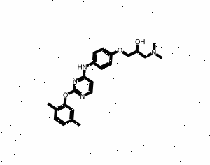 Cc1ccc(C)c(Oc2nccc(Nc3ccc(OCC(O)CN(C)C)cc3)n2)c1